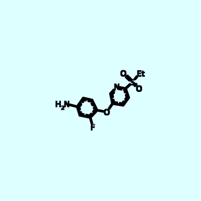 CCS(=O)(=O)c1ccc(Oc2ccc(N)cc2F)cn1